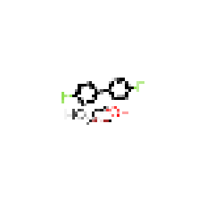 CBr.Fc1ccc(-c2ccc(F)cc2)cc1.O=C(O)CO